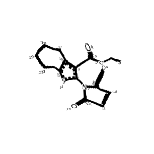 CCOC(=O)c1c(N2C(=O)C=CC2=O)sc2c1CCCC2